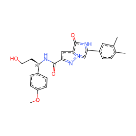 COc1ccc([C@@H](CCO)NC(=O)c2cc3c(=O)[nH]c(-c4ccc(C)c(C)c4)cn3n2)cc1